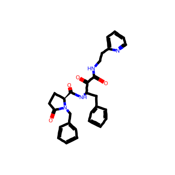 O=C(NCCc1ccccn1)C(=O)C(Cc1ccccc1)NC(=O)[C@@H]1CCC(=O)N1Cc1ccccc1